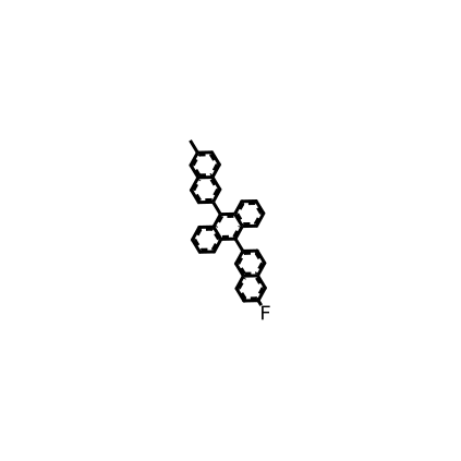 Cc1ccc2cc(-c3c4ccccc4c(-c4ccc5cc(F)ccc5c4)c4ccccc34)ccc2c1